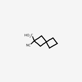 N#CC1(C(=O)O)CC2(CCC2)C1